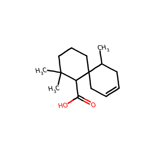 CC1CC=CCC12CCCC(C)(C)C2C(=O)O